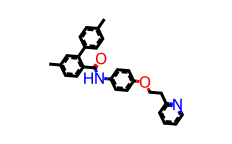 Cc1ccc(-c2cc(C)ccc2C(=O)Nc2ccc(OCCc3ccccn3)cc2)cc1